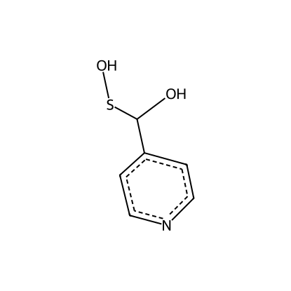 OSC(O)c1ccncc1